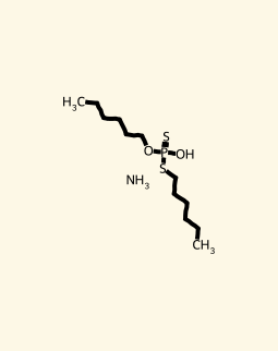 CCCCCCOP(O)(=S)SCCCCCC.N